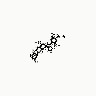 CCCOc1cc(O)c(CCC2(C3CCCC3)CC(O)=C(Cc3nc4ncc(C)cn4n3)C(=O)O2)cc1CC